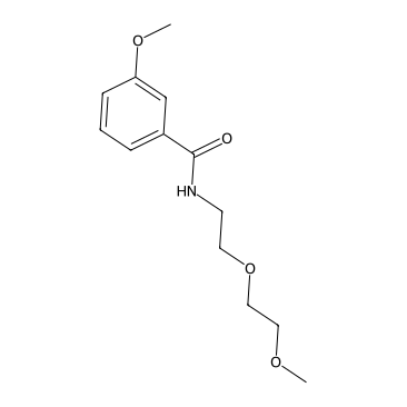 COCCOCCNC(=O)c1cccc(OC)c1